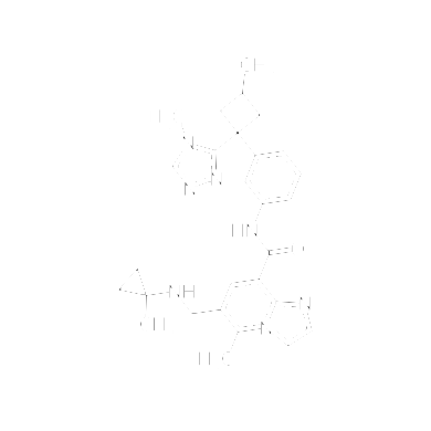 Cc1c(CNC2(C)CC2)cc(C(=O)Nc2cccc(C3(c4nncn4C)CC(C)C3)c2)c2nccn12